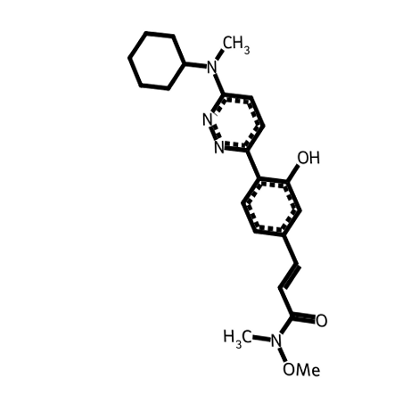 CON(C)C(=O)/C=C/c1ccc(-c2ccc(N(C)C3CCCCC3)nn2)c(O)c1